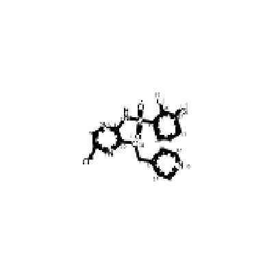 O=S(=O)(Nc1ncc(Cl)nc1OCc1ccncc1)c1cccc(Cl)c1Cl